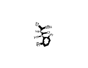 CCC(NC(=O)N(S)c1c(C(C)C)cccc1C(C)C)C(C)(C)C